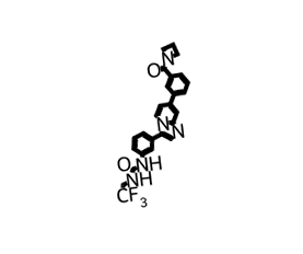 O=C(NCC(F)(F)F)Nc1cccc(-c2cnc3cc(-c4cccc(C(=O)N5CCC5)c4)ccn23)c1